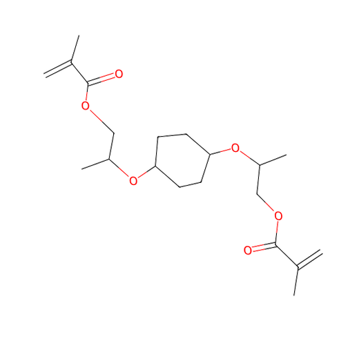 C=C(C)C(=O)OCC(C)OC1CCC(OC(C)COC(=O)C(=C)C)CC1